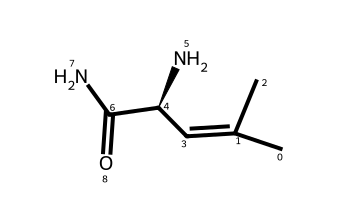 CC(C)=C[C@H](N)C(N)=O